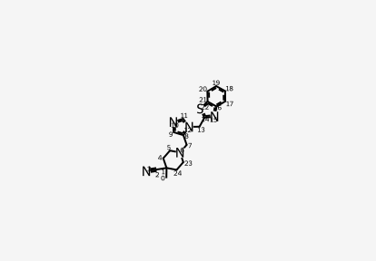 CC1(C#N)CCN(Cc2cncn2Cc2nc3ccccc3s2)CC1